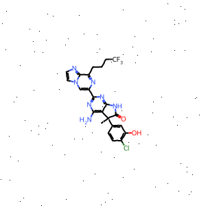 CC1(c2ccc(Cl)c(O)c2)C(=O)Nc2nc(-c3cn4ccnc4c(CCCC(F)(F)F)n3)nc(N)c21